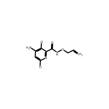 C=CCONC(=O)c1nc(Cl)cc(N)c1Cl